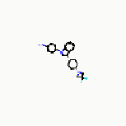 Nc1ccc(-n2cc([C@H]3CC[C@@H](N4CC(F)(F)C4)CC3)c3ccccc32)cc1